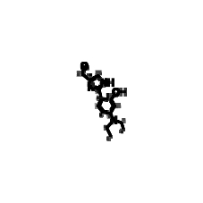 CCN(CC)c1ccc(-c2nc(C=O)c[nH]2)c(O)c1